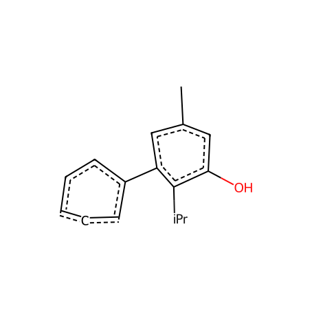 Cc1cc(O)c(C(C)C)c(-c2ccccc2)c1